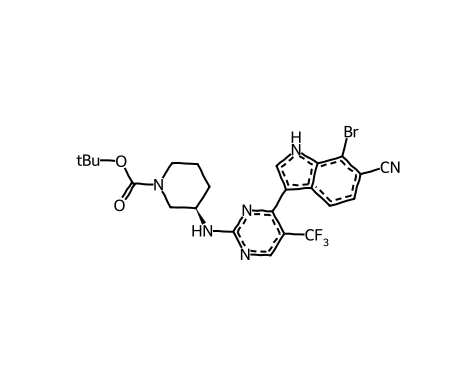 CC(C)(C)OC(=O)N1CCC[C@@H](Nc2ncc(C(F)(F)F)c(-c3c[nH]c4c(Br)c(C#N)ccc34)n2)C1